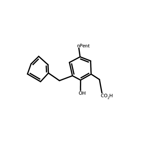 CCCCCc1cc(CC(=O)O)c(O)c(Cc2ccccc2)c1